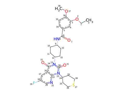 CCOc1cc(C(=O)N[C@H]2CC[C@@H](n3c(=O)c4cc(F)cnc4n(C4CCSCC4)c3=O)CC2)ccc1OC